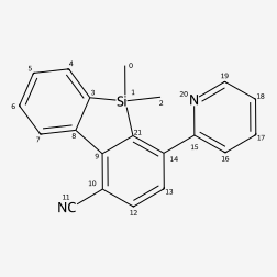 C[Si]1(C)c2ccccc2-c2c(C#N)ccc(-c3ccccn3)c21